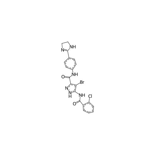 O=C(Nc1[nH]nc(C(=O)Nc2ccc(C3=NCCN3)cc2)c1Br)c1ccccc1Cl